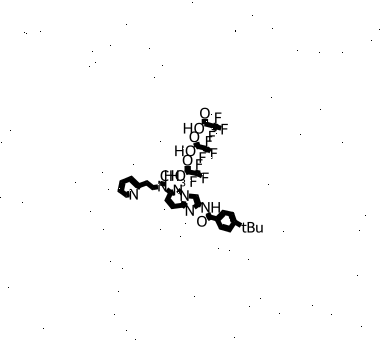 CN(CCc1ccccn1)c1ccc2nc(NC(=O)c3ccc(C(C)(C)C)cc3)cn2n1.O=C(O)C(F)(F)F.O=C(O)C(F)(F)F.O=C(O)C(F)(F)F